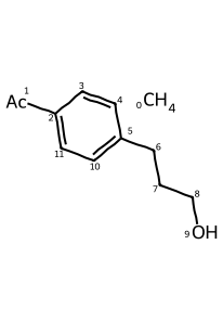 C.CC(=O)c1ccc(CCCO)cc1